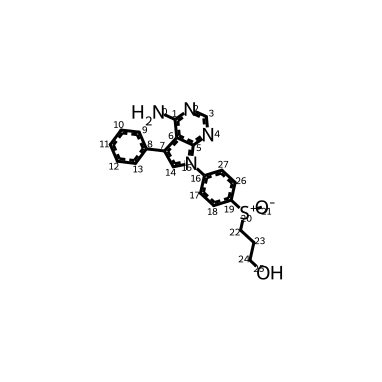 Nc1ncnc2c1c(-c1ccccc1)cn2-c1ccc([S+]([O-])CCCO)cc1